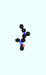 c1ccc(-c2ccc(-n3c4ccccc4c4cc(-c5ccc6c(c5)n(-c5ccccc5)c5nc7c8ccccc8oc7n65)ccc43)cc2)cc1